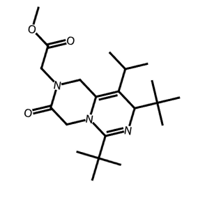 COC(=O)CN1CC2=C(C(C)C)C(C(C)(C)C)N=C(C(C)(C)C)N2CC1=O